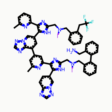 Cc1cccc(-c2nc(CN(I)Cc3ccccc3CC(F)(F)F)[nH]c2-c2cc(-c3cc(C)nc(-c4nc(CN(I)Cc5ccccc5-c5ccccc5CN)[nH]c4-c4ccc5ncnn5c4)c3)c3ncnn3c2)n1